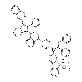 CC1(C)c2ccccc2-c2ccc(N(c3ccc(-c4cc5c6ccccc6c6c(c7ccccc7n6-c6ccc7ccccc7c6)c5c5ccccc45)cc3)c3cc4ccccc4c4ccccc34)cc21